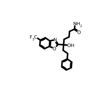 NC(=O)CCCC(O)(CCc1ccccc1)c1nc2cc(C(F)(F)F)ccc2o1